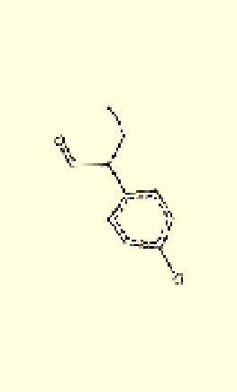 CCC([C]=O)c1ccc(Cl)cc1